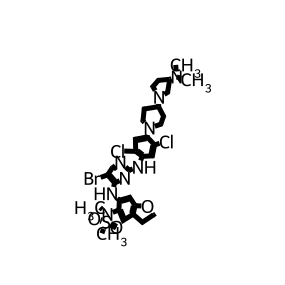 CN(C)C1CCN(C2CCN(c3cc(Cl)c(Nc4ncc(Br)c(Nc5cc6c(cc5N(C)S(C)(=O)=O)CCO6)n4)cc3Cl)CC2)C1